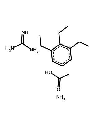 CC(=O)O.CCc1cccc(CC)c1CC.N.N=C(N)N